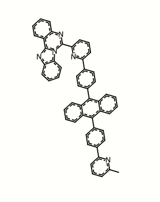 Cc1cccc(-c2ccc(-c3c4ccccc4c(-c4ccc(-c5cccc(-c6nc7ccccc7c7nc8ccccc8n67)n5)cc4)c4ccccc34)cc2)n1